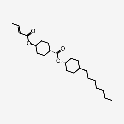 C/C=C/C(=O)O[C@H]1CC[C@H](C(=O)O[C@H]2CC[C@H](CCCCCCC)CC2)CC1